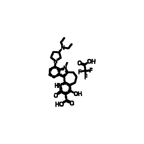 CCN(CC)C1CCN(c2cccc3c4c(n(C)c23)CCCc2c-4[nH]c(=O)c(C(=O)O)c2O)C1.O=C(O)C(F)(F)F